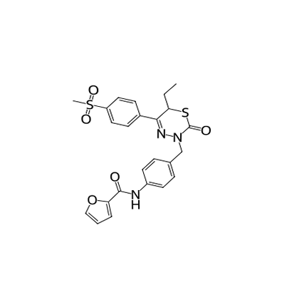 CCC1SC(=O)N(Cc2ccc(NC(=O)c3ccco3)cc2)N=C1c1ccc(S(C)(=O)=O)cc1